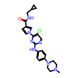 CN1CCN(c2ccc(Nc3ncc(Cl)c(-n4ccc(C(=O)NCC5CC5)c4)n3)cc2)CC1